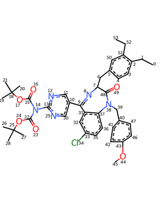 CCc1ccc(CC2N=C(c3cnc(N(C(=O)OC(C)(C)C)C(=O)OC(C)(C)C)nc3)c3cc(Cl)ccc3N(Cc3ccc(OC)cc3)C2=O)cc1CC